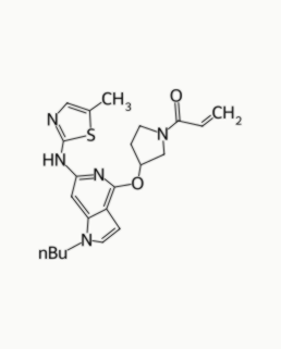 C=CC(=O)N1CCC(Oc2nc(Nc3ncc(C)s3)cc3c2ccn3CCCC)C1